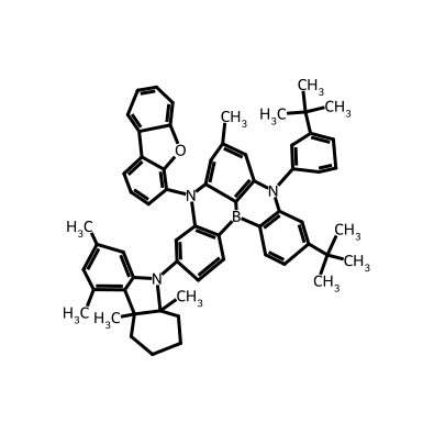 Cc1cc2c3c(c1)N(c1cccc4c1oc1ccccc14)c1cc(N4c5cc(C)cc(C)c5C5(C)CCCCC45C)ccc1B3c1ccc(C(C)(C)C)cc1N2c1cccc(C(C)(C)C)c1